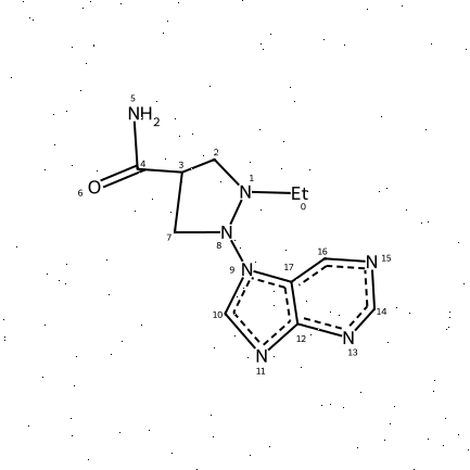 CCN1CC(C(N)=O)CN1n1cnc2ncncc21